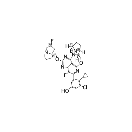 Oc1cc(Cl)c(C2CC2)c(-c2nc3c4c(nc(OC[C@@]56CCCN5C[C@@H](F)C6)nc4c2F)N2C[C@@H]4CC[C@@H](N4)[C@@H]2CO3)c1